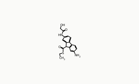 CCSC(=O)C1c2cc(N)ccc2-c2ccc(NC(=O)CO)cc21